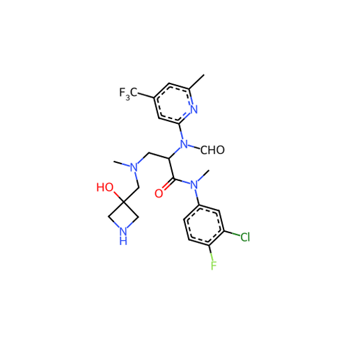 Cc1cc(C(F)(F)F)cc(N(C=O)C(CN(C)CC2(O)CNC2)C(=O)N(C)c2ccc(F)c(Cl)c2)n1